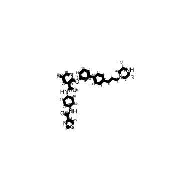 C[C@@H]1CN(CCCc2ccc(-c3cccc(Oc4ncc(F)cc4C(=O)N[C@H]4CC[C@H](NC(=O)c5cscn5)CC4)c3)cc2)C[C@H](C)N1